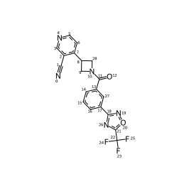 N#Cc1cnccc1C1CN(C(=O)c2cccc(-c3noc(C(F)(F)F)n3)c2)C1